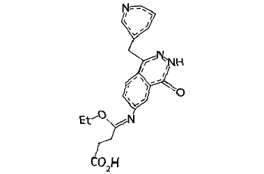 CCOC(CCC(=O)O)=Nc1ccc2c(Cc3cccnc3)n[nH]c(=O)c2c1